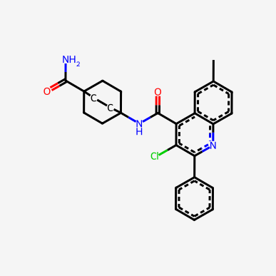 Cc1ccc2nc(-c3ccccc3)c(Cl)c(C(=O)NC34CCC(C(N)=O)(CC3)CC4)c2c1